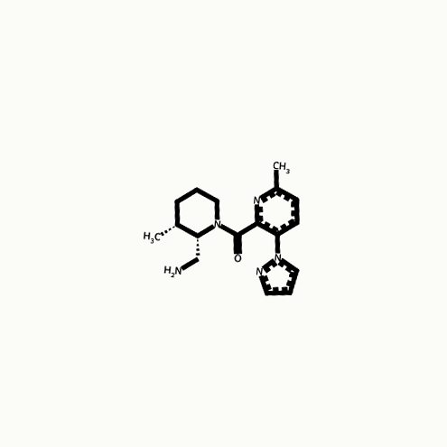 Cc1ccc(-n2cccn2)c(C(=O)N2CCC[C@@H](C)[C@H]2CN)n1